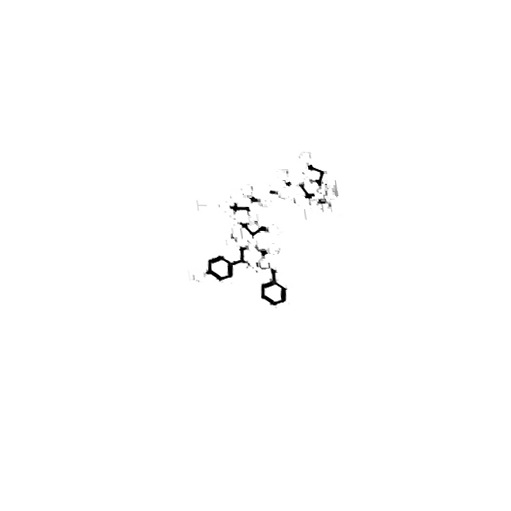 CC1(C)S[C@@H]2[C@H](N(C(=O)OCc3ccccc3)C(=O)C(N)c3ccc(O)cc3)C(=O)N2[C@H]1C(=O)OCOC(=O)[C@@H]1N2C(=O)C[C@H]2S(=O)(=O)C1(C)C